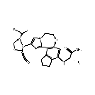 C[C@H](Nc1cc2c(c3c1CCC3)-c1nc(N3C(=C=O)OC[C@H]3C(F)F)cn1CCO2)C(N)=O